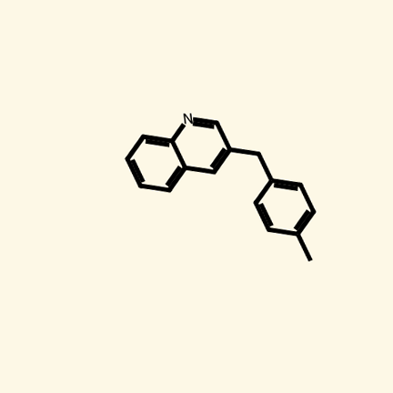 Cc1ccc(Cc2cnc3ccccc3c2)cc1